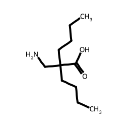 CCCCC(CN)(CCCC)C(=O)O